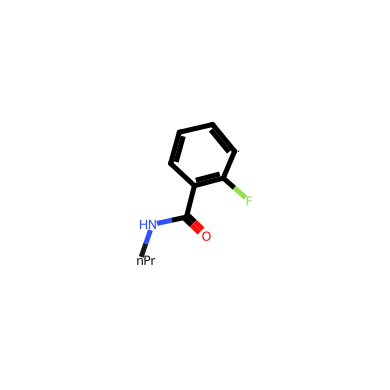 CCCNC(=O)c1ccc[c]c1F